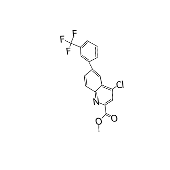 COC(=O)c1cc(Cl)c2cc(-c3cccc(C(F)(F)F)c3)ccc2n1